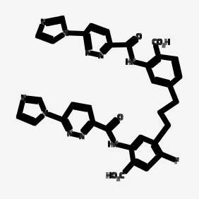 O=C(Nc1cc(CCCc2cc(NC(=O)c3ccc(-n4ccnc4)nn3)c(C(=O)O)cc2F)ccc1C(=O)O)c1ccc(-n2ccnc2)nn1